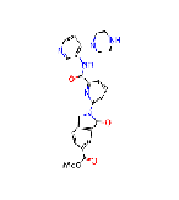 COC(=O)c1ccc2c(c1)C(=O)N(c1cccc(C(=O)Nc3cnccc3N3CCNCC3)n1)C2